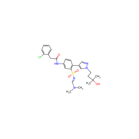 CN(C)C=NS(=O)(=O)c1cc(NC(=O)Cc2ccccc2Cl)ccc1-c1cnn(CCC(C)(C)O)c1